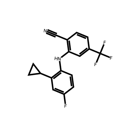 N#Cc1ccc(C(F)(F)F)cc1Nc1ccc(F)cc1C1CC1